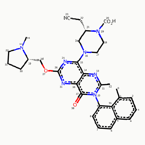 Cc1cccc2cccc(-n3c(C)nc4c(N5CCN(C(=O)O)[C@@H](CC#N)C5)nc(OC[C@@H]5CCCN5C)nc4c3=O)c12